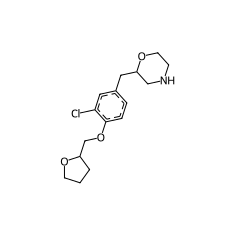 Clc1cc(CC2CNCCO2)ccc1OCC1CCCO1